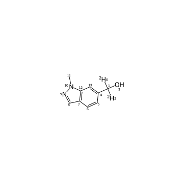 [2H]C([2H])(O)c1ccc2cnn(C)c2c1